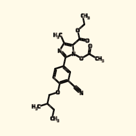 CCOC(=O)c1c(C)nc(-c2ccc(OCC(C)CC)c(C#N)c2)n1OC(C)=O